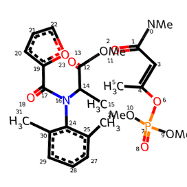 CNC(=O)/C=C(\C)OP(=O)(OC)OC.COC(=O)C(C)N(C(=O)c1ccco1)c1c(C)cccc1C